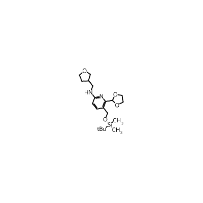 CC(C)(C)[Si](C)(C)OCc1ccc(NCC2CCOC2)nc1C1OCCO1